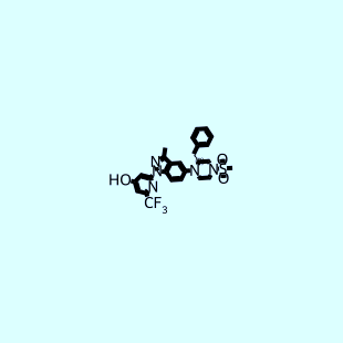 Cc1nn(-c2cc(O)cc(C(F)(F)F)n2)c2ccc(N3CCN(S(C)(=O)=O)C[C@H]3Cc3ccccc3)cc12